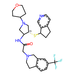 O=C(CN1CCc2ccc(C(F)(F)F)cc2C1)NC1CN(C2CCOCC2)C[C@@H]1SC1CCc2ccncc21